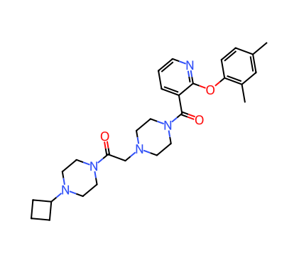 Cc1ccc(Oc2ncccc2C(=O)N2CCN(CC(=O)N3CCN(C4CCC4)CC3)CC2)c(C)c1